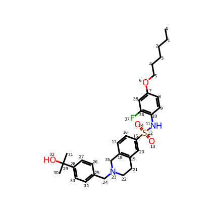 CCCCCCOc1ccc(NS(=O)(=O)c2ccc3c(c2)CCN(Cc2ccc(C(C)(C)O)cc2)C3)c(F)c1